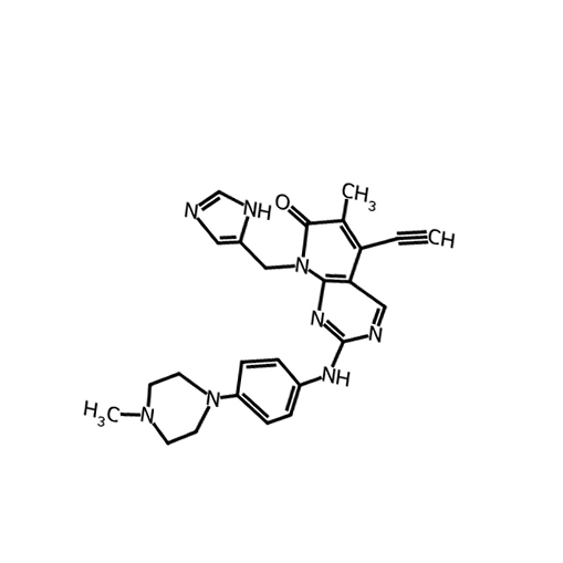 C#Cc1c(C)c(=O)n(Cc2cnc[nH]2)c2nc(Nc3ccc(N4CCN(C)CC4)cc3)ncc12